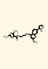 Cc1nc(C(=O)NCCCNc2cc(N)nc3cc(-c4ccn[nH]4)ccc23)c(C)s1